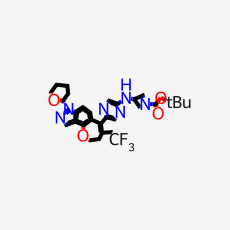 CC(C)(C)OC(=O)N1CC(Nc2cnc(C3=C(CC(F)(F)F)CCOc4c3ccc3c4cnn3C3CCCCO3)cn2)C1